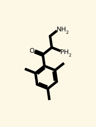 Cc1cc(C)c(C(=O)C(P)CN)c(C)c1